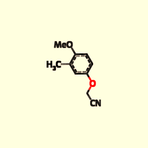 COc1ccc(OCC#N)cc1C